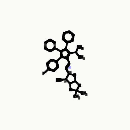 CC(C)c1c(-c2ccccc2)c(-c2ccccc2)c(-c2ccc(F)cc2)n1/C=C/[C@H]1OC2OC(C)(C)OC2[C@H]1O